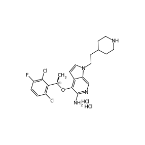 C[C@@H](Oc1c(N)ncc2c1ccn2CCC1CCNCC1)c1c(Cl)ccc(F)c1Cl.Cl.Cl